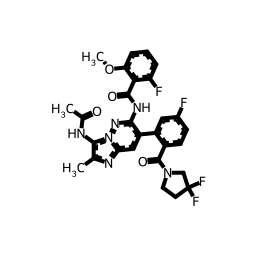 COc1cccc(F)c1C(=O)Nc1nn2c(NC(C)=O)c(C)nc2cc1-c1cc(F)ccc1C(=O)N1CCC(F)(F)C1